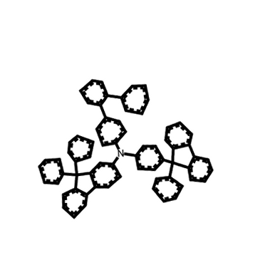 c1ccc(-c2ccccc2-c2ccc(N(c3ccc(C4(c5ccccc5)c5ccccc5-c5ccccc54)cc3)c3ccc4c(c3)C(c3ccccc3)(c3ccccc3)c3ccccc3-4)cc2)cc1